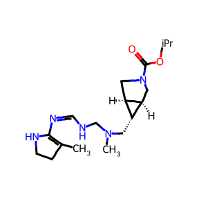 CC1=C(/N=C\NCN(C)C[C@@H]2[C@H]3CN(C(=O)OC(C)C)C[C@@H]23)NCC1